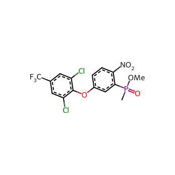 COP(C)(=O)c1cc(Oc2c(Cl)cc(C(F)(F)F)cc2Cl)ccc1[N+](=O)[O-]